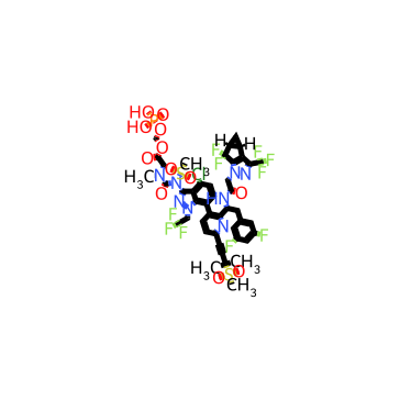 CN(CC(=O)OCOP(=O)(O)O)C(=O)N(c1nn(CC(F)(F)F)c2c(-c3ccc(C#CC(C)(C)S(C)(=O)=O)nc3C(Cc3cc(F)cc(F)c3)NC(=O)Cn3nc(C(F)(F)F)c4c3C(F)(F)[C@@H]3C[C@H]43)ccc(Cl)c12)S(C)(=O)=O